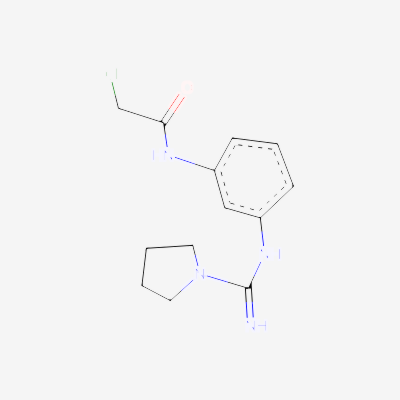 N=C(Nc1cccc(NC(=O)CCl)c1)N1CCCC1